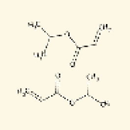 C=CC(=O)OC(C)C#N.C=CC(=O)OC(C)N